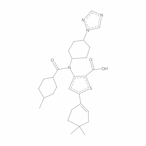 CC1CCC(C(=O)N(c2cc(C3=CCC(C)(C)CC3)sc2C(=O)O)C2CCC(n3cncn3)CC2)CC1